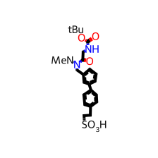 CNN(Cc1cccc(-c2ccc(CCS(=O)(=O)O)cc2)c1)C(=O)CNC(=O)OC(C)(C)C